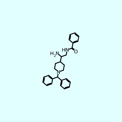 NC(CNC(=O)c1ccccc1)C1CCN(C(c2ccccc2)c2ccccc2)CC1